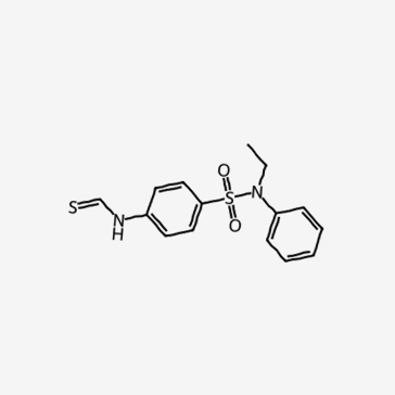 CCN(c1ccccc1)S(=O)(=O)c1ccc(NC=S)cc1